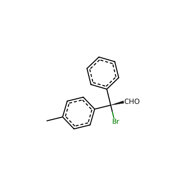 Cc1ccc([C@](Br)(C=O)c2ccccc2)cc1